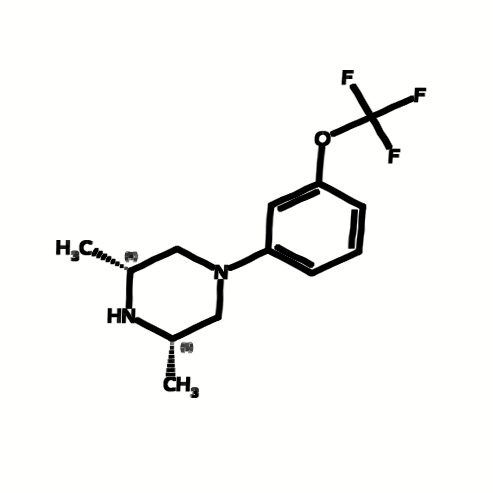 C[C@@H]1CN(c2cccc(OC(F)(F)F)c2)C[C@H](C)N1